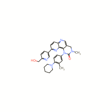 Cc1cc(N2C(=O)N(C)Cc3cnc4ccc(-c5ccc(CO)nc5)nc4c32)ccc1N1CCCCC1